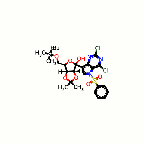 CC1(C)O[C@H]2[C@@H](O1)C(O)(c1cn(S(=O)(=O)c3ccccc3)c3c(Cl)nc(Cl)nc13)O[C@@H]2CO[Si](C)(C)C(C)(C)C